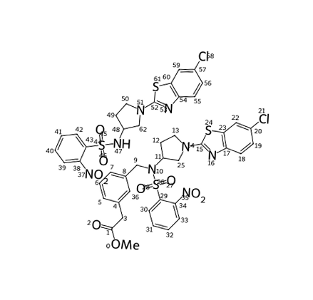 COC(=O)Cc1cccc(CN(C2CCN(c3nc4ccc(Cl)cc4s3)C2)S(=O)(=O)c2ccccc2[N+](=O)[O-])c1.O=[N+]([O-])c1ccccc1S(=O)(=O)NC1CCN(c2nc3ccc(Cl)cc3s2)C1